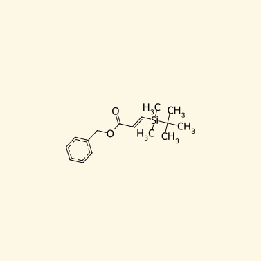 CC(C)(C)[Si](C)(C)C=CC(=O)OCc1ccccc1